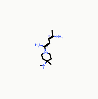 CNC1(C)CCN(/C(N)=C/C=C(/C)N)CC1